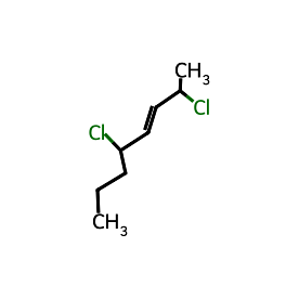 CCCC(Cl)C=CC(C)Cl